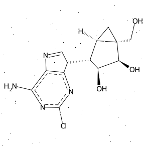 Nc1nc(Cl)nc2c1N=CC2[C@H]1[C@H](O)[C@H](O)[C@]2(CO)C[C@H]12